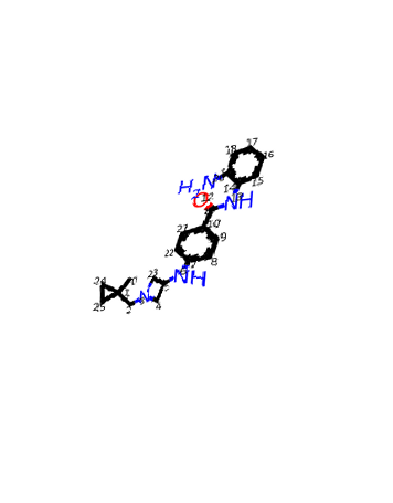 CC1(CN2CC(Nc3ccc(C(=O)Nc4ccccc4N)cc3)C2)CC1